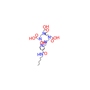 CCCCCCNC(=O)c1cc[n+](O)c(CN2CCN(CC(=O)O)CCN(CC(=O)O)CCN(CC(=O)O)CC2)c1